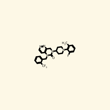 Cc1cccc(F)c1N1CCC(N2Cc3nnccc3N(Cc3ccccc3C(F)(F)F)C2=O)CC1